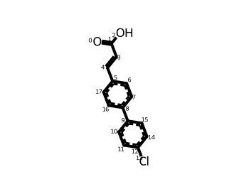 O=C(O)C=Cc1ccc(-c2ccc(Cl)cc2)cc1